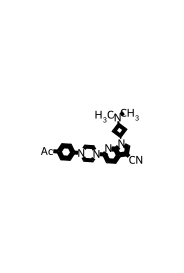 CC(=O)c1ccc(N2CCN(c3ccc4c(C#N)cn([C@H]5C[C@H](N(C)C)C5)c4n3)CC2)cc1